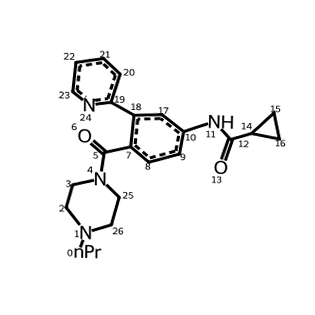 CCCN1CCN(C(=O)c2ccc(NC(=O)C3CC3)cc2-c2ccccn2)CC1